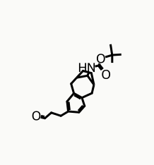 CC(C)(C)OC(=O)NC1C2CCC1Cc1cc(CCC=O)ccc1C2